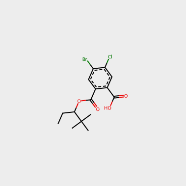 CCC(OC(=O)c1cc(Br)c(Cl)cc1C(=O)O)C(C)(C)C